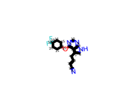 N#CC=CCc1c[nH]c2ncnc(OC3CCC(F)(F)CC3)c12